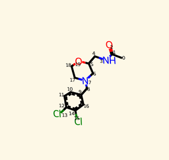 CC(=O)NCC1CN(Cc2ccc(Cl)c(Cl)c2)CCO1